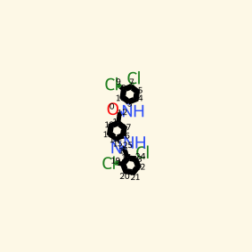 O=C(Nc1ccc(Cl)c(Cl)c1)c1ccc2nc(-c3c(Cl)cccc3Cl)[nH]c2c1